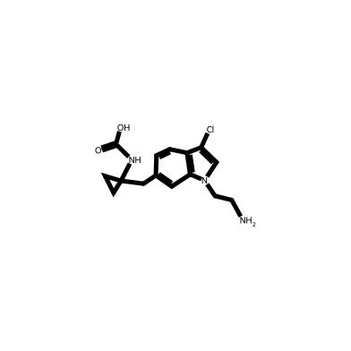 NCCn1cc(Cl)c2ccc(CC3(NC(=O)O)CC3)cc21